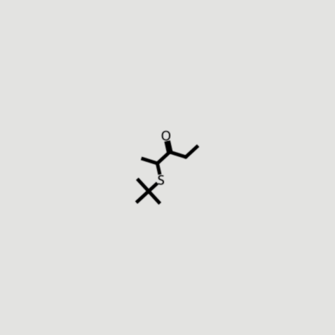 CCC(=O)C(C)SC(C)(C)C